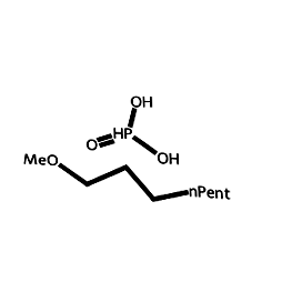 CCCCCCCCOC.O=[PH](O)O